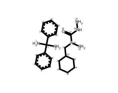 NC(N)(c1ccccc1)c1ccccc1.NNC(=O)N(N)CC1CCCCC1